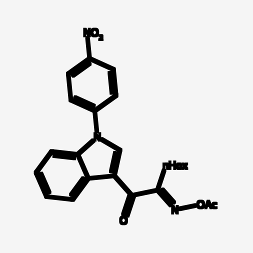 CCCCCC/C(=N\OC(C)=O)C(=O)c1cn(-c2ccc([N+](=O)[O-])cc2)c2ccccc12